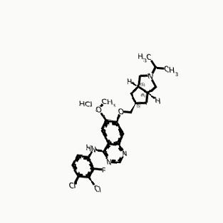 COc1cc2c(Nc3ccc(Cl)c(Cl)c3F)ncnc2cc1OC[C@H]1C[C@@H]2CN(C(C)C)C[C@@H]2C1.Cl